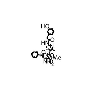 COC(=O)[C@](N)(CC(=O)c1ccccc1)NC(=O)c1sc(NC(=O)Cc2cccc(O)c2)nc1C